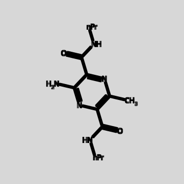 CCCNC(=O)c1nc(N)c(C(=O)NCCC)nc1C